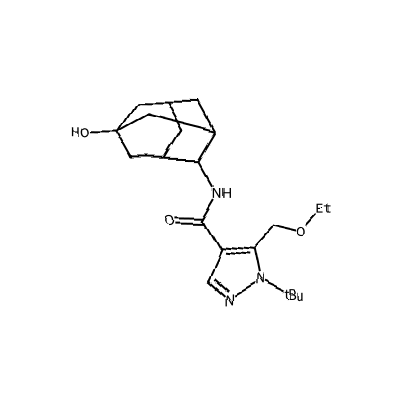 CCOCc1c(C(=O)NC2C3CC4CC2CC(O)(C4)C3)cnn1C(C)(C)C